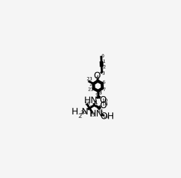 CC#CCOc1ccc(C(=O)NC(C(=O)NO)C(C)(C)N)cc1C